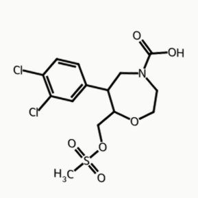 CS(=O)(=O)OCC1OCCN(C(=O)O)CC1c1ccc(Cl)c(Cl)c1